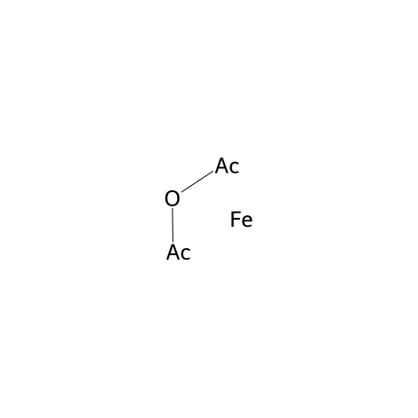 CC(=O)OC(C)=O.[Fe]